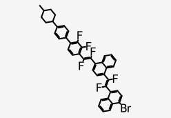 CC1CCC(c2ccc(-c3ccc(/C(F)=C(\F)c4ccc(/C(F)=C(\F)c5ccc(Br)c6ccccc56)c5ccccc45)c(F)c3F)cc2)CC1